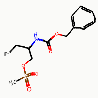 CC(C)CC(COS(C)(=O)=O)NC(=O)OCc1ccccc1